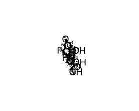 C[C@]12CCC(=O)C=C1C(F)=C[C@@H]1[C@@H]2[C@@H](O)C[C@@]2(C)[C@H]1CC[C@]2(O)C(=O)CO